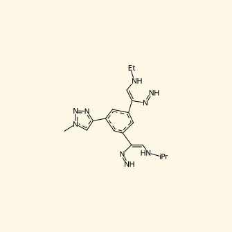 CCN/C=C(\N=N)c1cc(/C(=C/NC(C)C)N=N)cc(-c2cn(C)nn2)c1